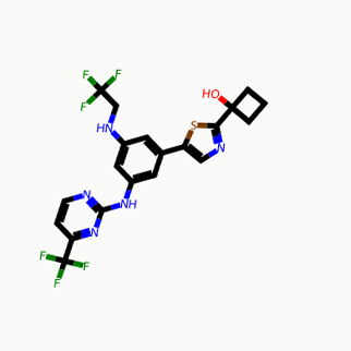 OC1(c2ncc(-c3cc(NCC(F)(F)F)cc(Nc4nccc(C(F)(F)F)n4)c3)s2)CCC1